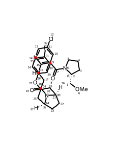 COC[C@H]1CCCN1C(=O)c1cc(Cl)cnc1NCC(=O)N1[C@@H]2CC[C@H]1CC(Oc1ccc(F)cc1)C2